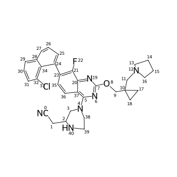 N#CCC1CN(c2nc(OCC3(CN4CCCC4)CC3)nc3c(F)c(-c4cccc5cccc(Cl)c45)ccc23)CCN1